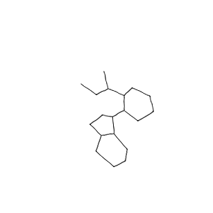 CCC(C)C1CCCCC1C1CCC2CCCCC21